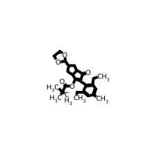 CCc1cc(C)cc(CC)c1C1=C(OC(=O)C(C)(C)C)C2CC(C3OCCO3)CC2C1=O